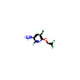 Nc1cc(F)c(OCC(F)F)nc1F